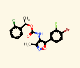 Cc1noc(-c2ccc(Br)c(F)c2)c1NC(=O)O[C@H](C)c1ccccc1Cl